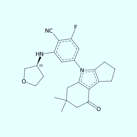 CC1(C)CC(=O)c2c3c(n(-c4cc(F)c(C#N)c(N[C@H]5CCOC5)c4)c2C1)CCC3